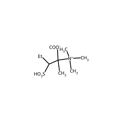 CCC(C(C)(C(=O)[O-])[N+](C)(C)C)S(=O)(=O)O